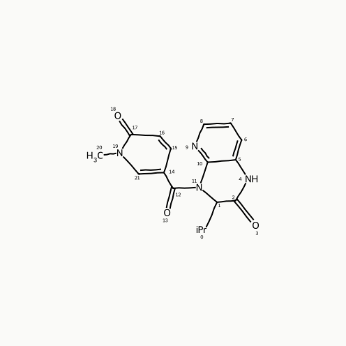 CC(C)C1C(=O)Nc2cccnc2N1C(=O)c1ccc(=O)n(C)c1